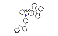 C=C(/C=C\C1=C(C)c2ccccc2C12c1ccccc1-c1ccccc12)N(c1ccccc1)c1ccc(-c2cccc3c2sc2ccccc23)cc1